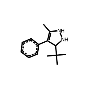 CC1=C(c2ccccc2)C(C(C)(C)C)NN1